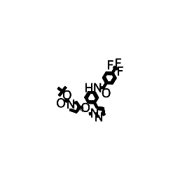 Cn1nccc1-c1cc(NC(=O)c2ccc(C(F)(F)F)cc2)ccc1O[C@@H]1CCN(C(=O)OC(C)(C)C)C1